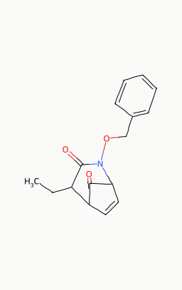 CCC1C(=O)N(OCc2ccccc2)C2C=CC1C2=O